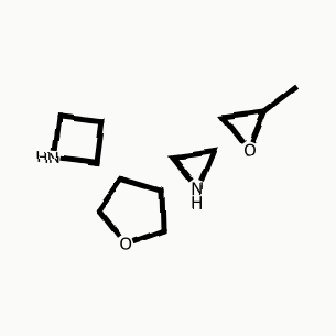 C1CCOC1.C1CN1.C1CNC1.CC1CO1